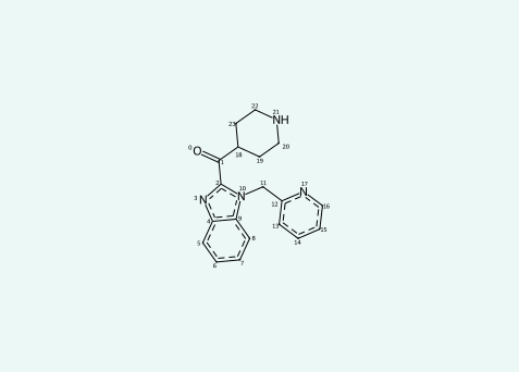 O=C(c1nc2ccccc2n1Cc1ccccn1)C1CCNCC1